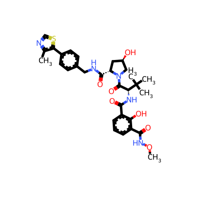 CONC(=O)c1cccc(C(=O)N[C@H](C(=O)N2C[C@H](O)C[C@H]2C(=O)NCc2ccc(-c3scnc3C)cc2)C(C)(C)C)c1O